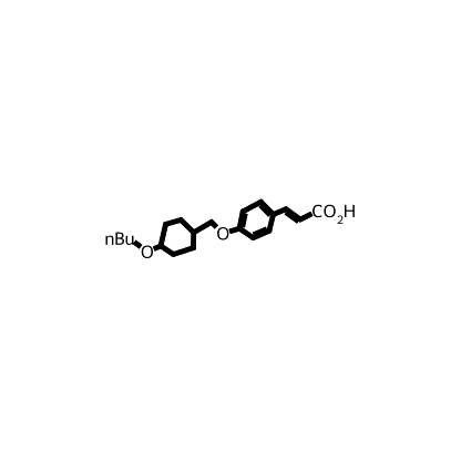 CCCCOC1CCC(COc2ccc(C=CC(=O)O)cc2)CC1